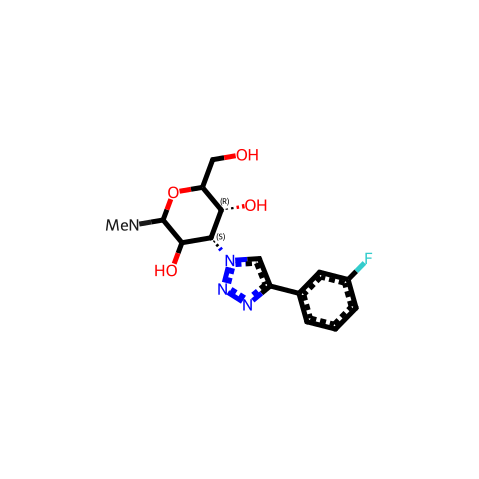 CNC1OC(CO)[C@H](O)[C@H](n2cc(-c3cccc(F)c3)nn2)C1O